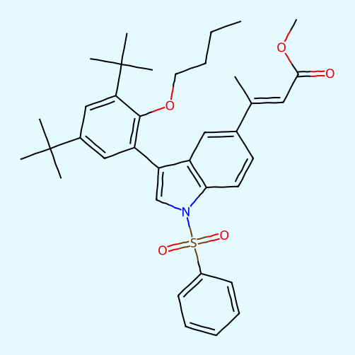 CCCCOc1c(-c2cn(S(=O)(=O)c3ccccc3)c3ccc(C(C)=CC(=O)OC)cc23)cc(C(C)(C)C)cc1C(C)(C)C